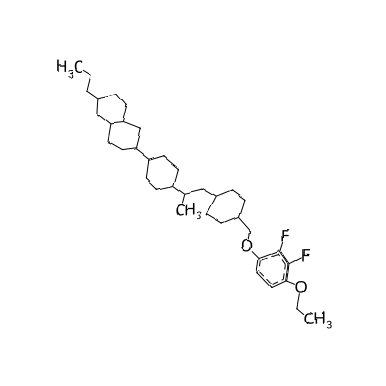 CCCC1CCC2CC(C3CCC(C(C)CC4CCC(COc5ccc(OCC)c(F)c5F)CC4)CC3)CCC2C1